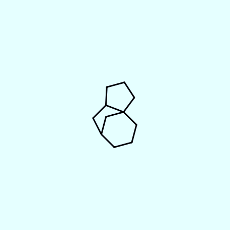 C1CC2CC3CCCC3(C1)C2